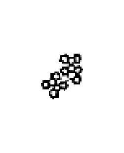 c1ccc(N(c2ccc3c(c2)C2(c4ccccc4-c4ccccc42)c2ccccc2-3)c2cccc3c2-c2ccccc2C32c3ccccc3-c3ccccc32)cc1